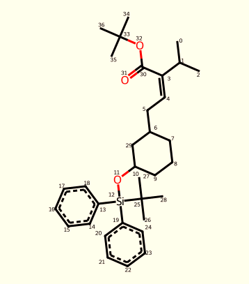 CC(C)C(=CCC1CCCC(O[Si](c2ccccc2)(c2ccccc2)C(C)(C)C)C1)C(=O)OC(C)(C)C